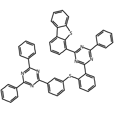 c1ccc(-c2nc(-c3ccccc3)nc(-c3cccc(Sc4ccccc4-c4nc(-c5ccccc5)nc(-c5cccc6c5sc5ccccc56)n4)c3)n2)cc1